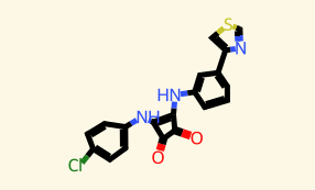 O=c1c(Nc2ccc(Cl)cc2)c(Nc2cccc(-c3cscn3)c2)c1=O